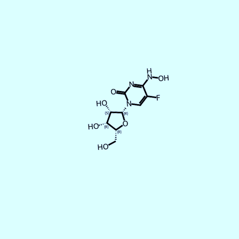 O=c1nc(NO)c(F)cn1[C@@H]1O[C@H](CO)[C@H](O)[C@@H]1O